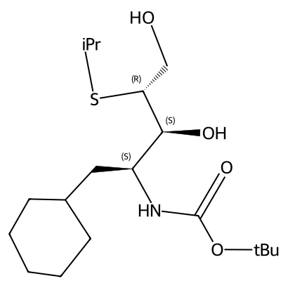 CC(C)S[C@H](CO)[C@@H](O)[C@H](CC1CCCCC1)NC(=O)OC(C)(C)C